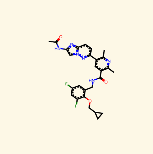 CC(=O)Nc1cn2nc(-c3cc(C(=O)NCc4cc(F)cc(F)c4OCC4CC4)c(C)nc3C)ccc2n1